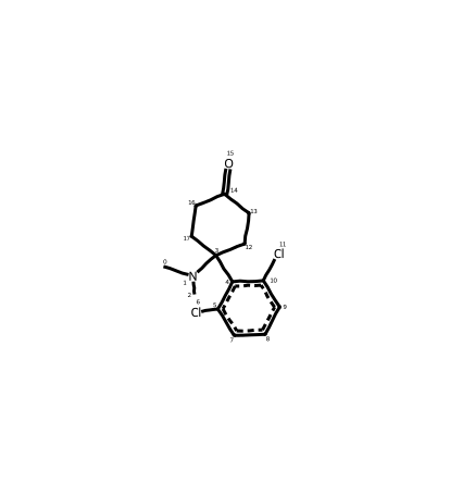 CN(C)C1(c2c(Cl)cccc2Cl)CCC(=O)CC1